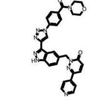 O=C(c1ccc(-n2cc(-c3n[nH]c4ccc(Cn5nc(-c6ccncc6)ccc5=O)cc34)nn2)cc1)N1CCOCC1